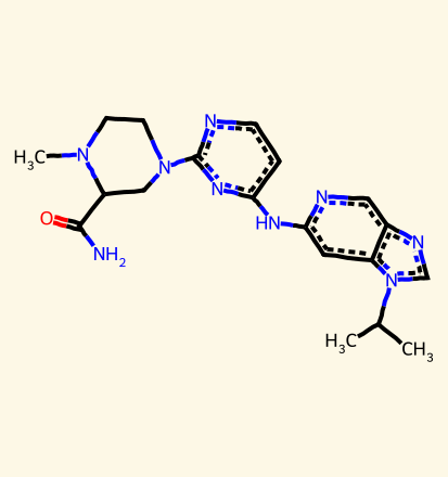 CC(C)n1cnc2cnc(Nc3ccnc(N4CCN(C)C(C(N)=O)C4)n3)cc21